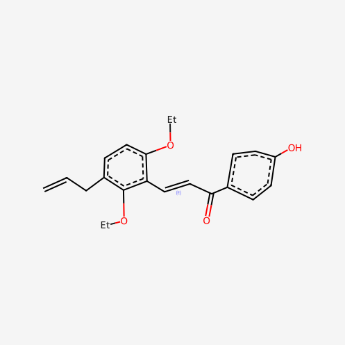 C=CCc1ccc(OCC)c(/C=C/C(=O)c2ccc(O)cc2)c1OCC